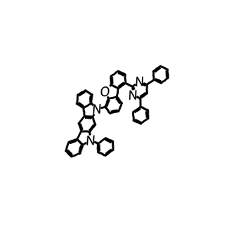 c1ccc(-c2cc(-c3ccccc3)nc(-c3cccc4oc5c(-n6c7ccccc7c7cc8c9ccccc9n(-c9ccccc9)c8cc76)cccc5c34)n2)cc1